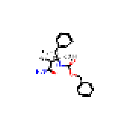 C[C@H](c1ccccc1)[C@](NC(=O)OCc1ccccc1)(C(=O)O)C(C(N)=O)C(C)(C)C